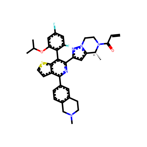 C=CC(=O)N1CCn2nc(-c3nc(-c4ccc5c(c4)CCN(C)C5)c4ccsc4c3-c3c(F)cc(F)cc3OC(C)C)cc2[C@H]1C